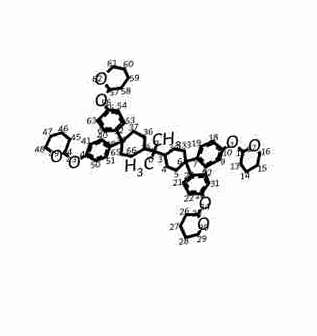 CC(C)(C1CCC(c2ccc(OC3CCCCO3)cc2)(c2ccc(OC3CCCCO3)cc2)CC1)C1CCC(c2ccc(OC3CCCCO3)cc2)(c2ccc(OC3CCCCO3)cc2)CC1